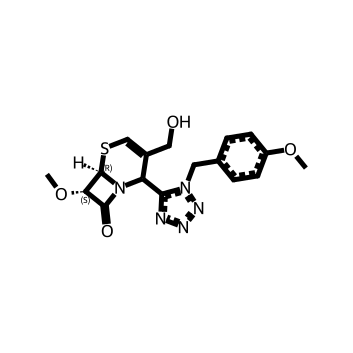 COc1ccc(Cn2nnnc2C2C(CO)=CS[C@@H]3[C@@H](OC)C(=O)N23)cc1